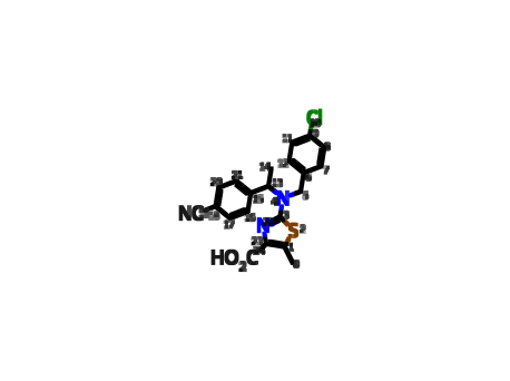 Cc1sc(N(Cc2ccc(Cl)cc2)C(C)c2ccc(C#N)cc2)nc1C(=O)O